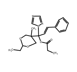 CCC(=O)OC(C=Cc1ccccc1)(n1cncn1)C1(C)COC(CC)OC1